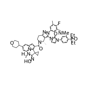 CCP(=O)(CC)c1ccc(-n2ccn(-c3c4c(nn3-c3cc(C)c(F)c(C)c3)CCN(C(=O)c3cc5cc(C6CCOCC6)ccn5c3C3(/C(N)=N/O)CC3)[C@H]4C)c2=O)cc1NC